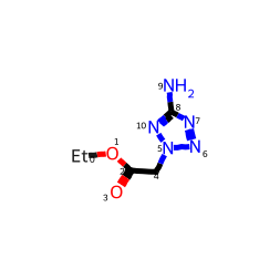 CCOC(=O)Cn1nnc(N)n1